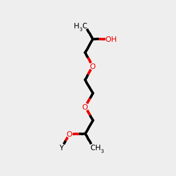 CC(O)COCCOCC(C)[O][Y]